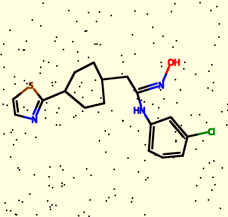 O/N=C(\CC1CCC(c2nccs2)CC1)Nc1cccc(Cl)c1